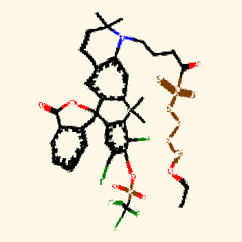 CCOSSSSS(=S)(=S)C(=O)CCCN1c2cc3c(cc2CCC1(C)C)C1(OC(=O)c2ccccc21)c1cc(F)c(OS(=O)(=O)C(F)(F)F)c(F)c1[Si]3(C)C